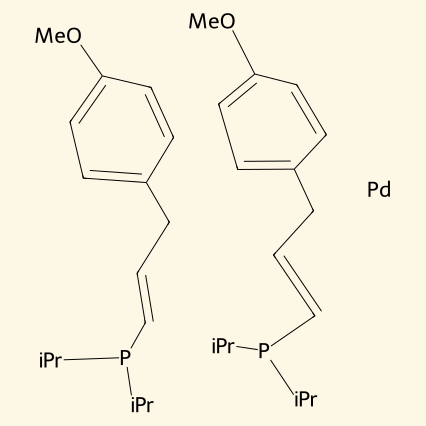 COc1ccc(CC=CP(C(C)C)C(C)C)cc1.COc1ccc(CC=CP(C(C)C)C(C)C)cc1.[Pd]